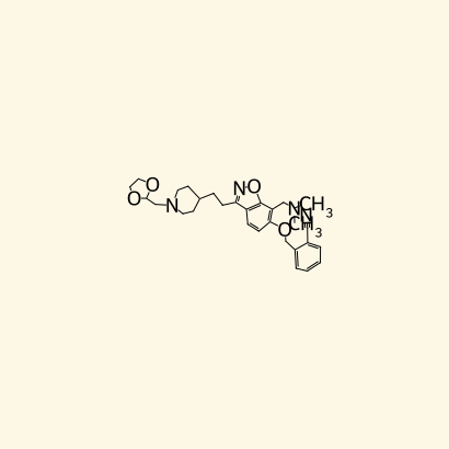 CN(C)Cc1c(OCc2ccccc2C#N)ccc2c(CCC3CCN(CC4OCCO4)CC3)noc12